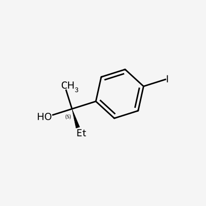 CC[C@](C)(O)c1ccc(I)cc1